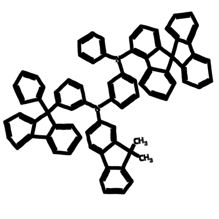 CC1(C)c2ccccc2-c2ccc(N(c3cccc(N(c4ccccc4)c4cccc5c4-c4ccccc4C54c5ccccc5-c5ccccc54)c3)c3cccc(C4(c5ccccc5)c5ccccc5-c5ccccc54)c3)cc21